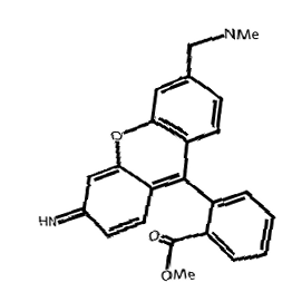 CNCc1ccc2c(-c3ccccc3C(=O)OC)c3ccc(=N)cc-3oc2c1